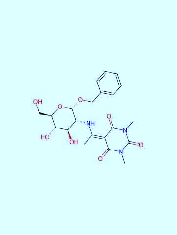 CC(N[C@H]1[C@@H](OCc2ccccc2)O[C@H](CO)[C@@H](O)[C@@H]1O)=C1C(=O)N(C)C(=O)N(C)C1=O